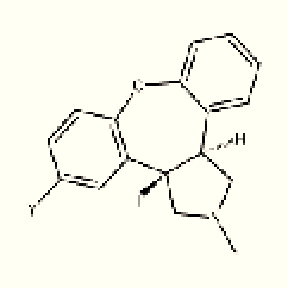 CN1C[C@@H]2c3ccccc3Oc3cc[c]([Y])cc3[C@H]2C1